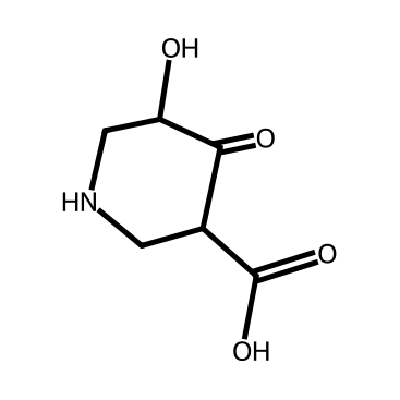 O=C(O)C1CNCC(O)C1=O